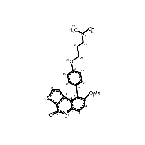 COc1ccc2[nH]c(=O)c3sccc3c2c1-c1ccc(OCCCN(C)C)cc1